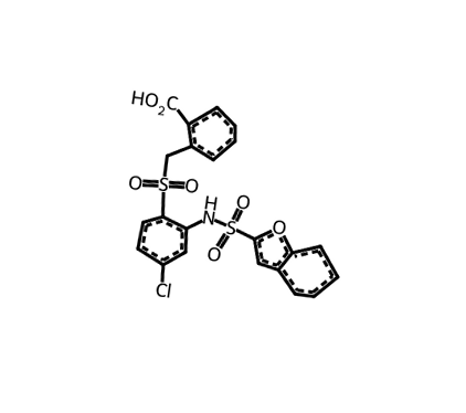 O=C(O)c1ccccc1CS(=O)(=O)c1ccc(Cl)cc1NS(=O)(=O)c1cc2ccccc2o1